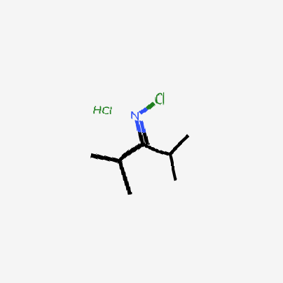 CC(C)C(=NCl)C(C)C.Cl